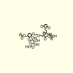 CN(C)C(=O)OCc1ccc(OCCOCCNC(=O)[C@H](CS(=O)(=O)O)NC(=O)CCN2C(=O)C=CC2=O)cc1O[C@@H]1O[C@H](C(=O)O)[C@@H](O)[C@H](O)[C@H]1O